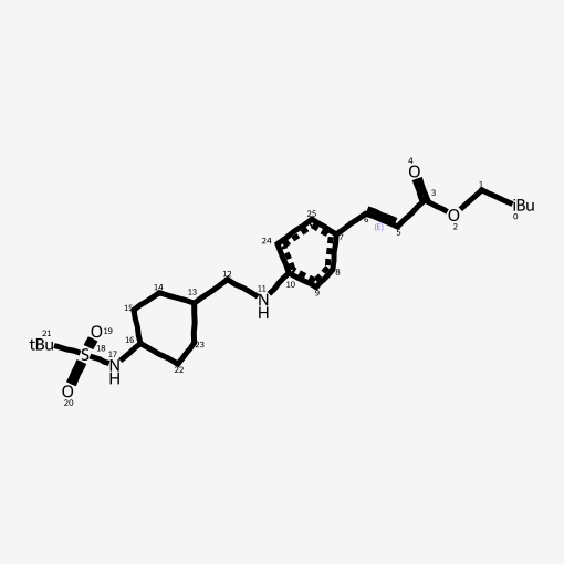 CCC(C)COC(=O)/C=C/c1ccc(NCC2CCC(NS(=O)(=O)C(C)(C)C)CC2)cc1